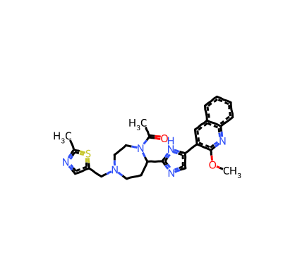 COc1nc2ccccc2cc1-c1cnc(C2CCN(Cc3cnc(C)s3)CCN2C(C)=O)[nH]1